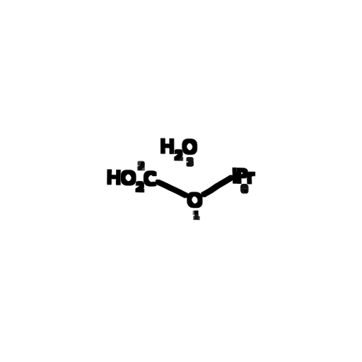 CC(C)OC(=O)O.O